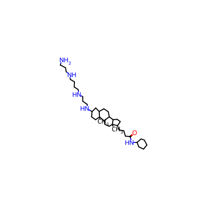 CC12CCC3C(CCC4CC(NCCCNCCCCNCCCN)CCC43C)C1CCC2CCCC(=O)NC1CCCCC1